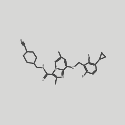 Cc1cc(OCc2c(F)ccc(C3CC3)c2F)c2nc(C)c(C(=O)NCC3CCC(C#N)CC3)n2c1